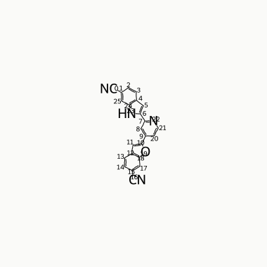 N#Cc1ccc2cc(-c3cc(-c4cc5ccc(C#N)cc5o4)ccn3)[nH]c2c1